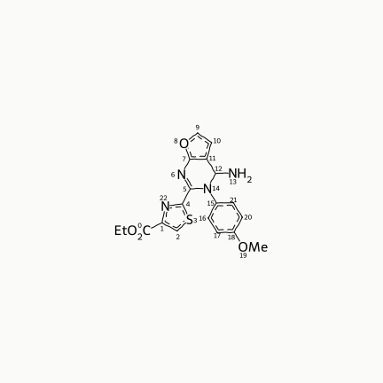 CCOC(=O)c1csc(C2=Nc3occc3C(N)N2c2ccc(OC)cc2)n1